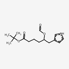 CC(C)(C)OC(=O)CCCC(Cc1cc[nH]c1)OC=O